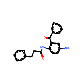 Nc1ccc(NC(=O)CCc2ccccc2)c(C(=O)c2ccccc2)c1